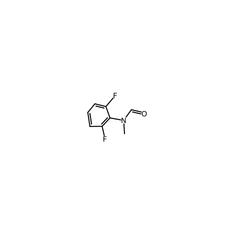 CN(C=O)c1c(F)cccc1F